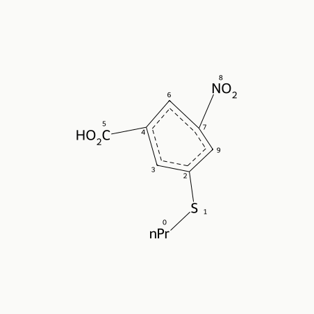 CCCSc1cc(C(=O)O)cc([N+](=O)[O-])c1